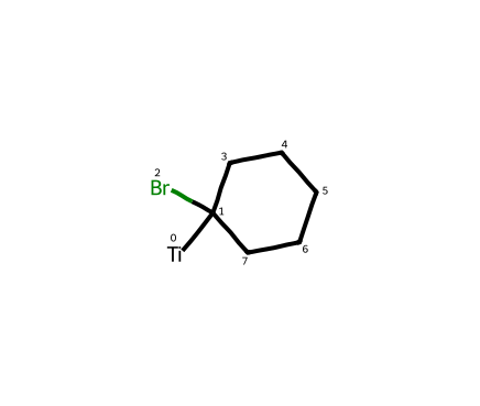 [Ti][C]1(Br)CCCCC1